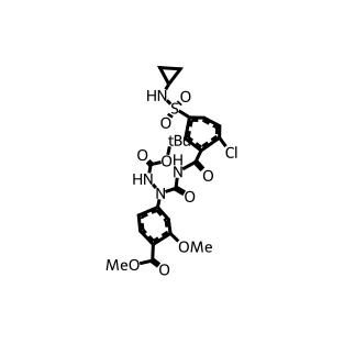 COC(=O)c1ccc(N(NC(=O)OC(C)(C)C)C(=O)NC(=O)c2cc(S(=O)(=O)NC3CC3)ccc2Cl)cc1OC